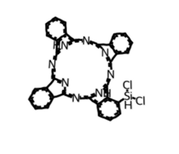 Cl[SiH](Cl)c1cccc2c3nc4nc(nc5[nH]c(nc6nc(nc([nH]3)c12)-c1ccccc1-6)c1ccccc51)-c1ccccc1-4